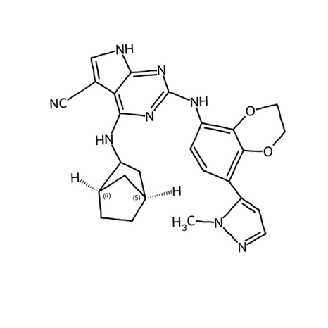 Cn1nccc1-c1ccc(Nc2nc(NC3C[C@H]4CC[C@@H]3C4)c3c(C#N)c[nH]c3n2)c2c1OCCO2